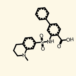 CN1CCCc2ccc(S(=O)(=O)Nc3cc(-c4ccccc4)ccc3C(=O)O)cc21